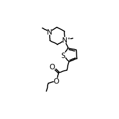 CCOC(=O)Cc1ccc([N+]2(C)CCN(C)CC2)s1